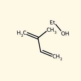 C=CC(=C)C.CCO